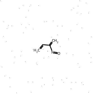 C=CC(=C)N=O